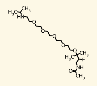 CC(=O)NCC(F)C(C)(C)OCCOCCOCCOCCOCCNC(C)C